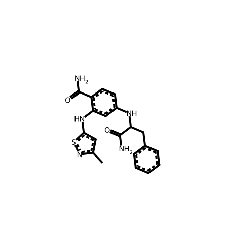 Cc1cc(Nc2cc(NC(Cc3ccccc3)C(N)=O)ccc2C(N)=O)sn1